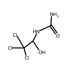 NC(=O)NC(O)C(Cl)(Cl)Cl